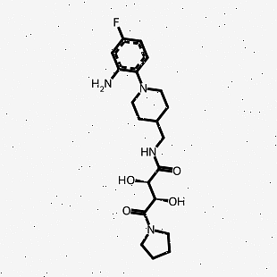 Nc1cc(F)ccc1N1CCC(CNC(=O)[C@H](O)[C@@H](O)C(=O)N2CCCC2)CC1